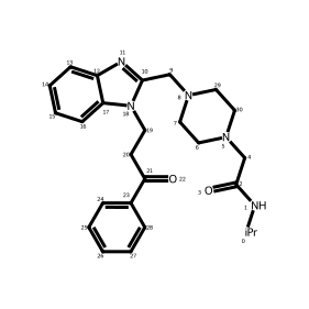 CC(C)NC(=O)CN1CCN(Cc2nc3ccccc3n2CCC(=O)c2ccccc2)CC1